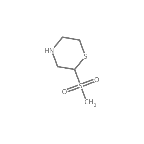 CS(=O)(=O)C1CNCCS1